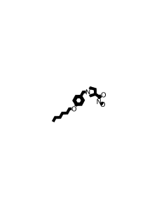 CCCCCCOc1ccc(CN2CCC(C(=O)N=O)C2)cc1